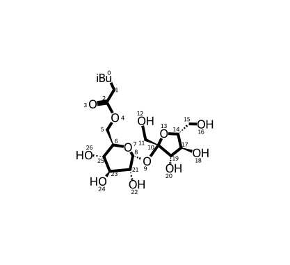 CCC(C)CC(=O)OC[C@H]1O[C@H](O[C@]2(CO)O[C@H](CO)[C@@H](O)[C@@H]2O)[C@H](O)[C@@H](O)[C@@H]1O